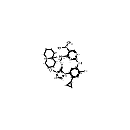 CN(C)c1cnc(Nc2cc(-n3nnn(C)c3=O)c(C3CC3)cc2F)nc1NC[C@@H]1CCCN2CCCC[C@H]12